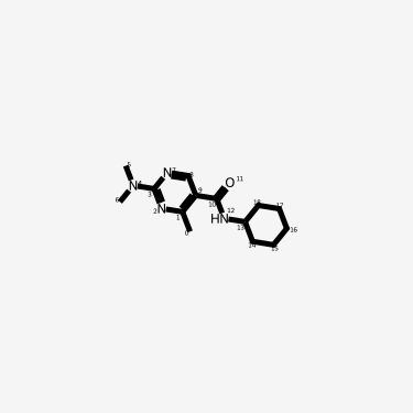 Cc1nc(N(C)C)ncc1C(=O)NC1CCCCC1